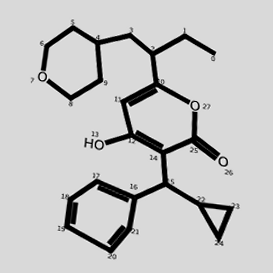 CCC(CC1CCOCC1)c1cc(O)c(C(c2ccccc2)C2CC2)c(=O)o1